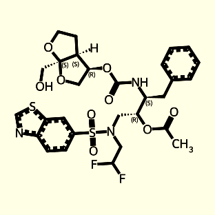 CC(=O)O[C@H](CN(CC(F)F)S(=O)(=O)c1ccc2ncsc2c1)[C@H](Cc1ccccc1)NC(=O)O[C@H]1CO[C@@]2(CO)OCC[C@@H]12